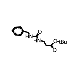 CC(C)(C)OC(=O)CCNC(=O)NCc1ccccc1